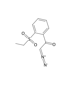 CCS(=O)(=O)c1ccccc1C(=O)C=[N+]=[N-]